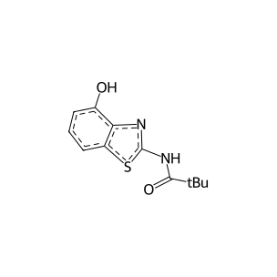 CC(C)(C)C(=O)Nc1nc2c(O)cccc2s1